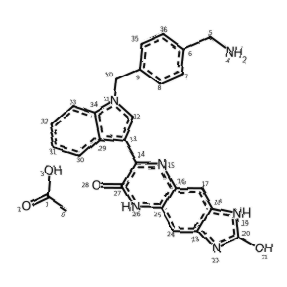 CC(=O)O.NCc1ccc(Cn2cc(-c3nc4cc5[nH]c(O)nc5cc4[nH]c3=O)c3ccccc32)cc1